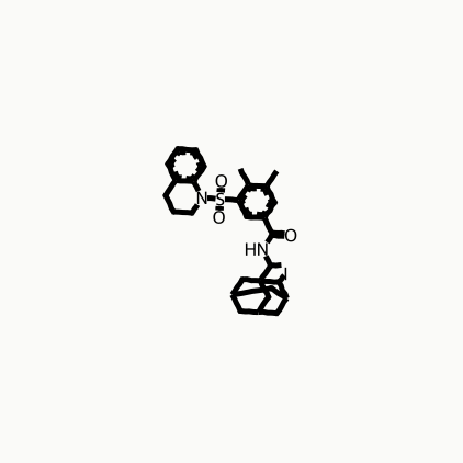 Cc1cc(C(=O)NC(C)C23CC4CC(CC(C4)C2I)C3)cc(S(=O)(=O)N2CCCc3ccccc32)c1C